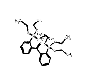 C=C(c1ccccc1[Si](OCC)(OCC)OCC)c1ccccc1[Si](OCC)(OCC)OCC